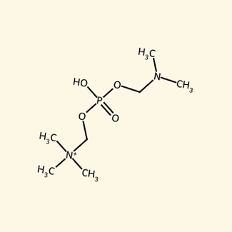 CN(C)COP(=O)(O)OC[N+](C)(C)C